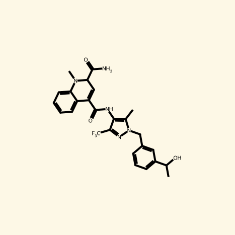 Cc1c(NC(=O)C2=CC(C(N)=O)N(C)c3ccccc32)c(C(F)(F)F)nn1Cc1cccc(C(C)O)c1